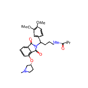 COc1ccc(C(CCCNC(=O)C(C)C)N2C(=O)c3cccc(O[C@@H]4CCN(C)C4)c3C2=O)cc1OC